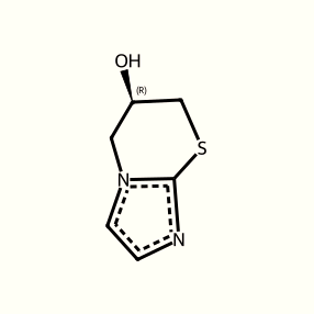 O[C@H]1CSc2nccn2C1